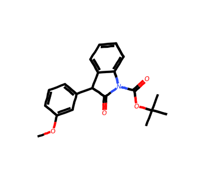 COc1cccc(C2C(=O)N(C(=O)OC(C)(C)C)c3ccccc32)c1